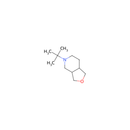 CC(C)(C)N1CCC2COCC2C1